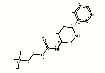 C[Si](C)(C)CCOC(=O)N[C@H]1CC[C@H](c2ccccc2)NC1